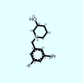 CC(C)c1cc(F)cc(CN2CCCC(O)C2)c1